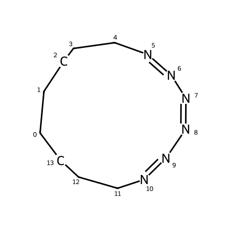 C1CCCCN=NN=NN=NCCC1